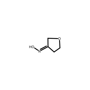 ON=C1CCOC1